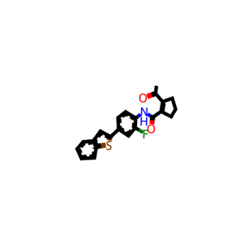 CC(=O)C1=C(C(=O)Nc2ccc(-c3cc4ccccc4s3)cc2F)CCC1